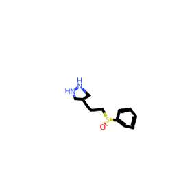 [O-][S+](CCC1CNNC1)c1ccccc1